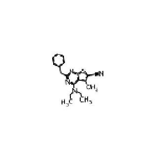 CCN(CC)c1nc(Cc2ccccc2)nc2sc(C#N)c(C)c12